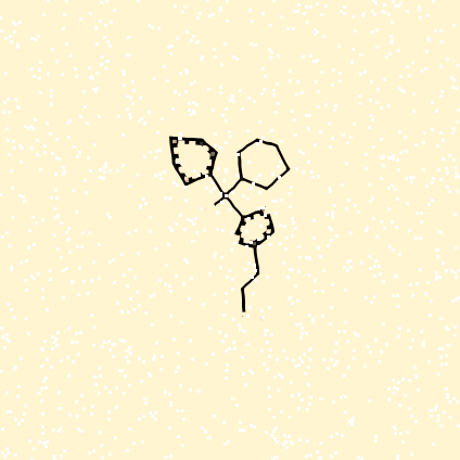 CNCCc1cnc(C(O)(c2ccccc2)C2CCCCC2)o1